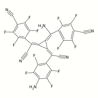 N#C/C(=C1\C(=C(N)c2c(F)c(F)c(C#N)c(F)c2F)\C1=C(\C#N)c1c(F)c(F)c(C#N)c(F)c1F)c1c(F)c(F)c(N)c(F)c1F